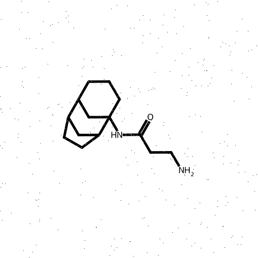 NCCC(=O)NC12CCCC(C1)C1CCC2C1